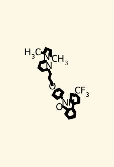 Cc1ccc(C)n1-c1cccc(CCCOc2ccc(NC(=O)c3ccccc3-c3ccc(C(F)(F)F)cc3)cc2)n1